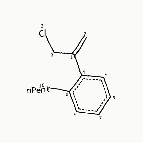 C=C(CCl)c1ccccc1CCCCC